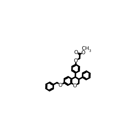 COC(=O)COc1ccc(C2c3ccc(OCc4ccccc4)cc3OCC2c2ccccc2)cc1